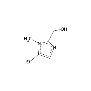 CCc1cnc(CO)n1C